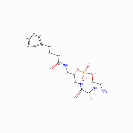 C[C@@H](N)C(=O)NCC(CNC(=O)CCCc1ccccc1)OP(=O)(O)OCCN